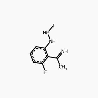 CC(=N)c1c(F)cccc1NPI